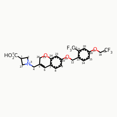 O=C(O)C1CN(CC2=Cc3ccc(OCc4ccc(OCC(F)(F)F)cc4C(F)(F)F)cc3OC2)C1